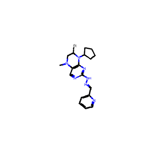 CCC1CN(C)c2cnc(N/N=C/c3ccccn3)nc2N1C1CCCC1